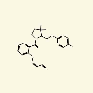 N=C/C=N\Nc1cccnc1C(=O)N1CCC(F)(F)C1CNc1ncc(Cl)cn1